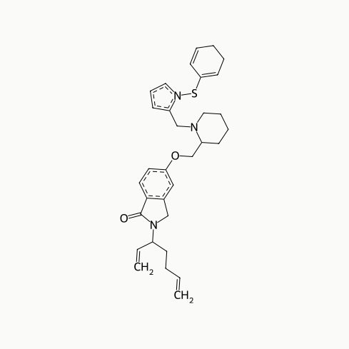 C=CCCC(C=C)N1Cc2cc(OCC3CCCCN3Cc3cccn3SC3=CCCC=C3)ccc2C1=O